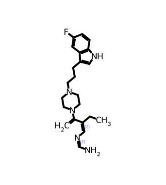 C=C(/C(=C\N=C/N)CC)N1CCN(CCCc2c[nH]c3ccc(F)cc23)CC1